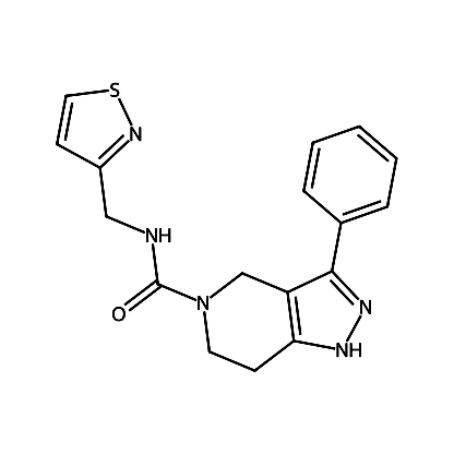 O=C(NCc1ccsn1)N1CCc2[nH]nc(-c3ccccc3)c2C1